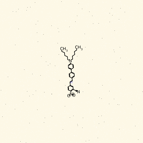 CCCCCCN(CCCCCC)c1ccc(-c2ccc(/C=C/c3ccc([N+](=O)[O-])c(C#N)c3)cc2)cc1